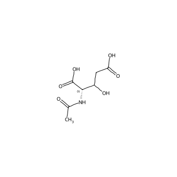 CC(=O)N[C@H](C(=O)O)C(O)CC(=O)O